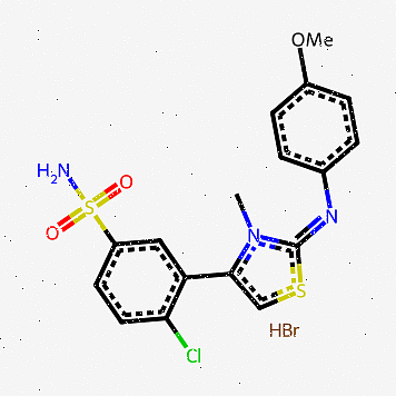 Br.COc1ccc(/N=c2/scc(-c3cc(S(N)(=O)=O)ccc3Cl)n2C)cc1